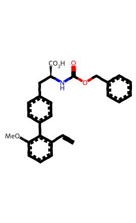 C=Cc1cccc(OC)c1-c1ccc(C[C@H](NC(=O)OCc2ccccc2)C(=O)O)cc1